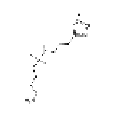 Cc1cn(CCCNC(C)(C)CCCCN)nn1